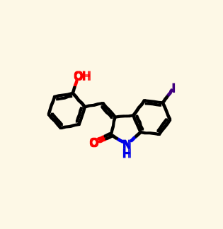 O=C1Nc2ccc(I)cc2C1=Cc1ccccc1O